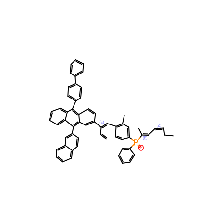 C=C/C(=C\c1ccc(P(=O)(/C(C)=C/C=C\CC)c2ccccc2)cc1C)c1ccc2c(-c3ccc(-c4ccccc4)cc3)c3ccccc3c(-c3ccc4ccccc4c3)c2c1